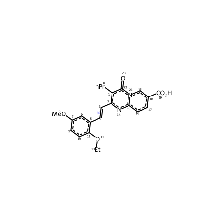 CCCc1c(/C=C/c2cc(OC)ccc2OCC)nc2ccc(C(=O)O)cn2c1=O